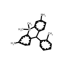 Cc1ccccc1C1c2ccc(N)cc2[Si](C)(C)c2cc(N)ccc21